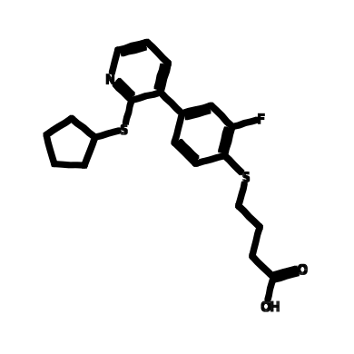 O=C(O)CCCSc1ccc(-c2cccnc2SC2CCCC2)cc1F